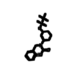 CC(C)(C)[Si](C)(C)OC1CCCC(N(Cc2ccccc2)C(=O)O)C1